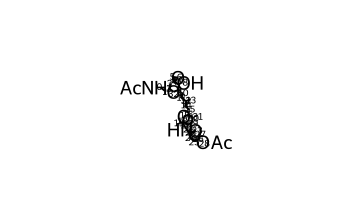 CC(=O)NC[C@@H]1C[C@@]2(CO2)[C@H](O)[C@@H](/C=C/C(C)=C/C[C@@H]2O[C@H](C)[C@H](NC(=O)/C=C\[C@H](C)OC(C)=O)C[C@@H]2C)O1